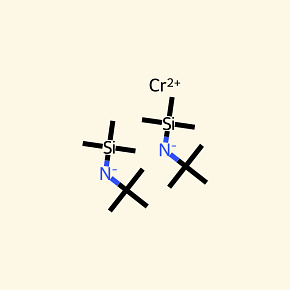 CC(C)(C)[N-][Si](C)(C)C.CC(C)(C)[N-][Si](C)(C)C.[Cr+2]